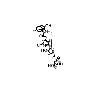 NC(C(=O)Nc1nc(Cl)nc2c1ncn2[C@@H]1O[C@H](COP(=O)(O)CP(=O)(O)O)[C@H](O)[C@@H]1O)C12CC3C[C@H](C1)C[C@@](O)(C3)C2